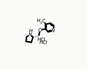 Cc1ccncc1OC[C@@H]1CCCN1.Cl.Cl